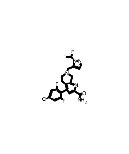 NC(=O)c1cc(-c2c(F)cc(Cl)cc2F)c2c(n1)CN(Cc1ccnn1C(F)F)CC2